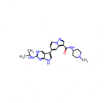 CC(C)Nc1ncc2c(-c3ccn4ncc(C(=O)NC5CCN(C)CC5)c4c3)c[nH]c2n1